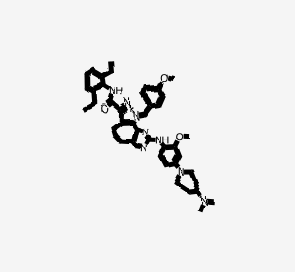 CCc1cccc(CC)c1NC(=O)c1nn(Cc2ccc(OC)cc2)c2c1CCCc1cnc(Nc3ccc(N4CCC(N(C)C)CC4)cc3OC)nc1-2